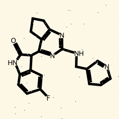 O=C1Nc2ccc(F)cc2C1c1nc(NCc2cccnc2)nc2c1CCC2